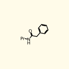 O=C(Cc1ccccc1)[NH][Pr]